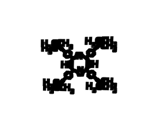 C[Si](C)(C)C#Cc1ccc(-c2c3nc(c(-c4ccc(C#C[Si](C)(C)C)cc4)c4ccc([nH]4)c(-c4ccc(C#C[Si](C)(C)C)cc4)c4nc(c(-c5ccc(C#C[Si](C)(C)C)cc5)c5ccc2[nH]5)C=C4)C=C3)cc1